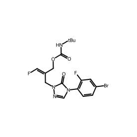 CC(C)(C)NC(=O)OC/C(=C/F)Cn1ncn(-c2ccc(Br)cc2F)c1=O